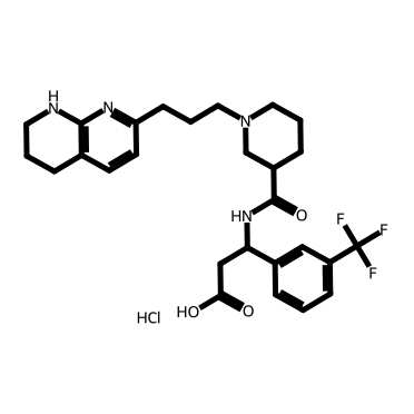 Cl.O=C(O)CC(NC(=O)C1CCCN(CCCc2ccc3c(n2)NCCC3)C1)c1cccc(C(F)(F)F)c1